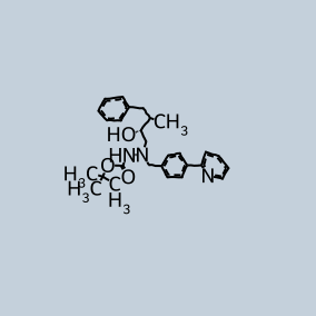 CC(Cc1ccccc1)[C@@H](O)CN(Cc1ccc(-c2ccccn2)cc1)NC(=O)OC(C)(C)C